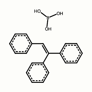 C(=C(c1ccccc1)c1ccccc1)c1ccccc1.OB(O)O